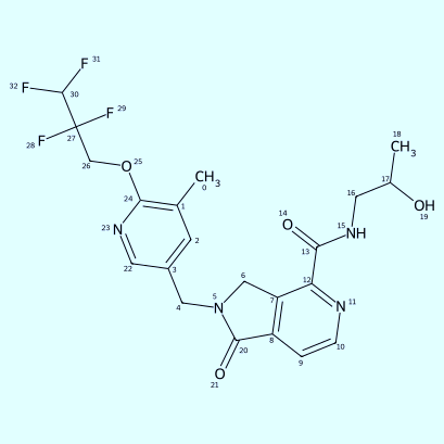 Cc1cc(CN2Cc3c(ccnc3C(=O)NCC(C)O)C2=O)cnc1OCC(F)(F)C(F)F